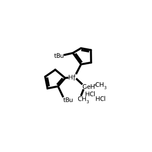 Cl.Cl.[CH3][GeH]([CH3])[Hf]([C]1=C(C(C)(C)C)C=CC1)[C]1=C(C(C)(C)C)C=CC1